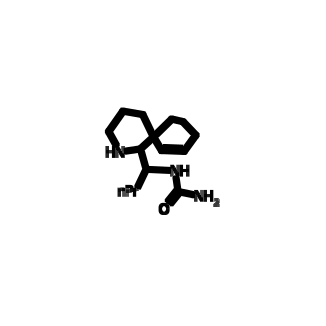 CCCC(NC(N)=O)C1NCCCC12C=CCCC2